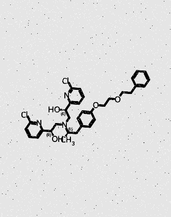 C[C@H](Cc1ccc(OCCOCCc2ccccc2)cc1)N(C[C@@H](O)c1cccc(Cl)n1)C[C@@H](O)c1cccc(Cl)n1